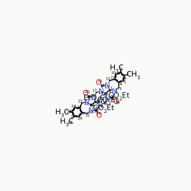 CCOC(=O)[C@]12N3Cc4cc(C)c(C)cc4CN1C(=O)N1CN4C(=O)N5Cc6cc(C)c(C)cc6CN6C(=O)N(CN(C3=O)[C@]12C(=O)OCC)[C@]4(C(=O)OCC)[C@@]56C(=O)OCC